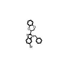 Brc1ccc2nc(C3COc4ccccc4O3)n(Cc3ccccc3)c2c1